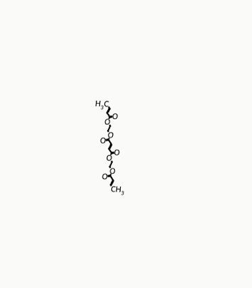 CC=CC(=O)OCCOC(=O)C=CC(=O)OCCOC(=O)C=CC